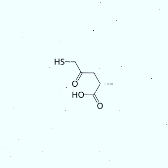 C[C@@H](CC(=O)CS)C(=O)O